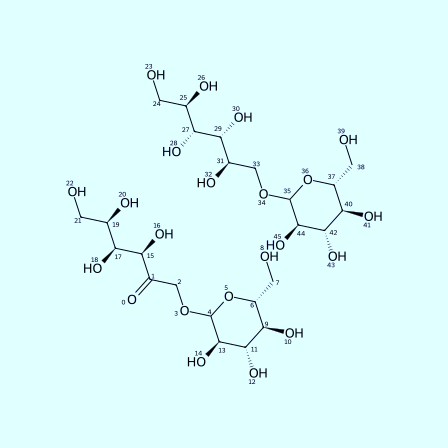 O=C(COC1O[C@H](CO)[C@@H](O)[C@H](O)[C@H]1O)[C@H](O)[C@@H](O)[C@H](O)CO.OC[C@@H](O)[C@@H](O)[C@H](O)[C@H](O)COC1O[C@H](CO)[C@@H](O)[C@H](O)[C@H]1O